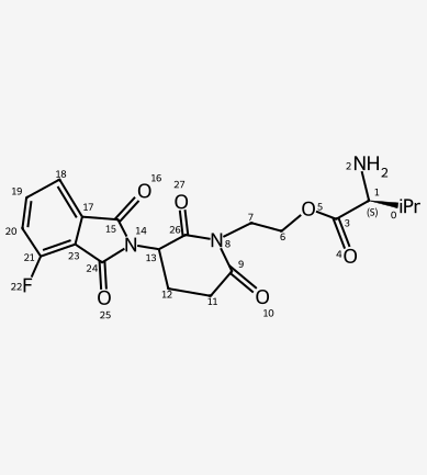 CC(C)[C@H](N)C(=O)OCCN1C(=O)CCC(N2C(=O)c3cccc(F)c3C2=O)C1=O